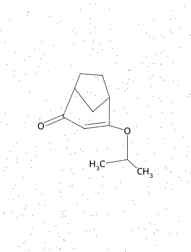 CC(C)OC1=CC(=O)C2CCC1C2